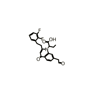 CCC(C(=O)O)n1c(CCc2cccc(F)c2F)cc(=O)c2ccc(CC=O)cc21